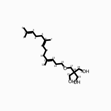 CC(C)=CCCC(C)=CCCC(C)=CCCOCC(CO)(CO)CO